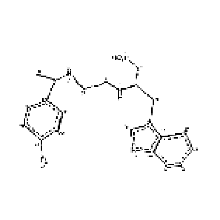 CC(NCCN[C@H](CC(=O)O)Cc1c[nH]c2ccccc12)c1ccc(Cl)cc1